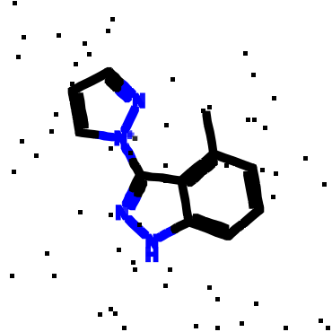 Cc1cccc2[nH]nc([N+]3C=CC=N3)c12